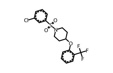 O=S(=O)(c1cccc(Cl)c1)N1CCC(Oc2ccccc2C(F)(F)F)CC1